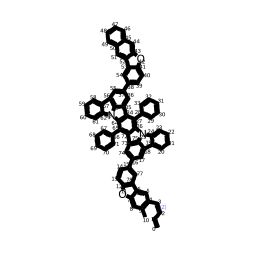 C=C/C=C\c1cc2c(cc1C)oc1ccc(-c3cc4c5ccccc5n5c6c(-c7ccccc7)c7c8cc(-c9ccc%10oc%11cc%12ccccc%12cc%11c%10c9)cc9c%10ccccc%10n(c7c(-c7ccccc7)c6c(c3)c45)c98)cc12